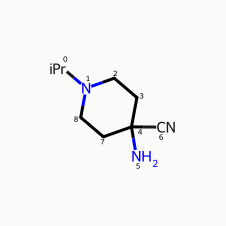 CC(C)N1CCC(N)(C#N)CC1